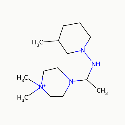 CC1CCCN(NC(C)N2CC[N+](C)(C)CC2)C1